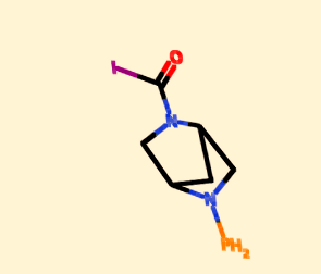 O=C(I)N1CC2CC1CN2P